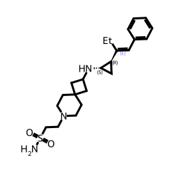 CC/C(=C\c1ccccc1)[C@H]1C[C@@H]1NC1CC2(CCN(CCS(N)(=O)=O)CC2)C1